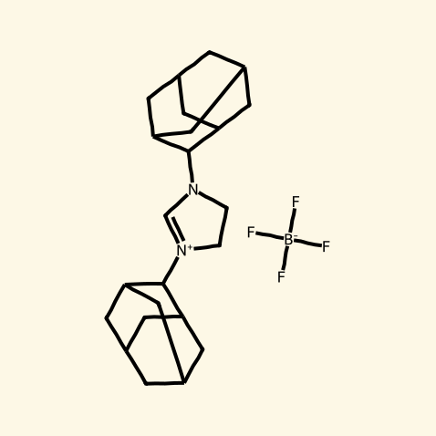 C1=[N+](C2C3CC4CC(C3)CC2C4)CCN1C1C2CC3CC(C2)CC1C3.F[B-](F)(F)F